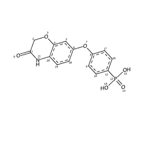 O=C1COc2cc(Oc3ccc(P(=O)(O)O)cc3)ccc2N1